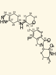 C=C1CCC(N2Cc3c(ccc(C[C@H]4OCCC[C@@H]4NC4CCc5cn[nH]c5C4)c3F)C2=O)C(=O)N1